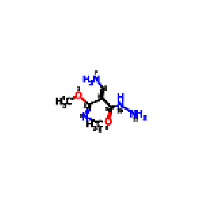 C/N=C(OC)\C(=C/N)C(=O)NN